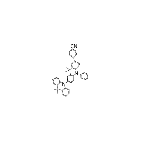 CC1(C)c2ccccc2N(c2ccc3c(c2)C(C)(C)c2cc(-c4ccc(C#N)cc4)ccc2N3c2ccccc2)c2ccccc21